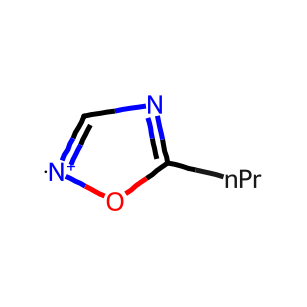 CCCC1=NC=[N+]O1